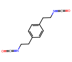 O=C=NCCc1ccc(CCN=C=O)cc1